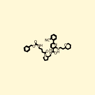 N#Cc1ccccc1-c1ccc(C(=O)NCC2CCCN2C(=O)CCCNC(=O)OCc2ccccc2)c(NCCC2CCCCO2)n1